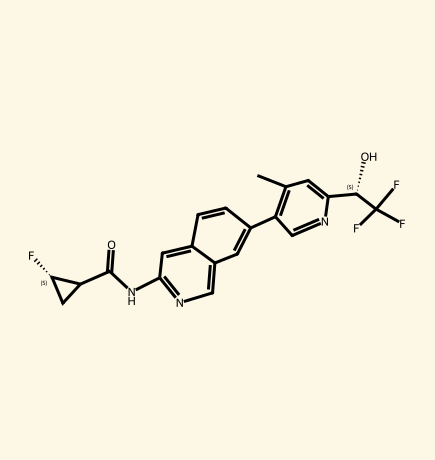 Cc1cc([C@H](O)C(F)(F)F)ncc1-c1ccc2cc(NC(=O)C3C[C@@H]3F)ncc2c1